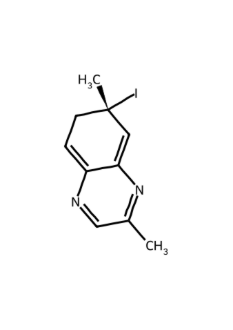 Cc1cnc2c(n1)=C[C@@](C)(I)CC=2